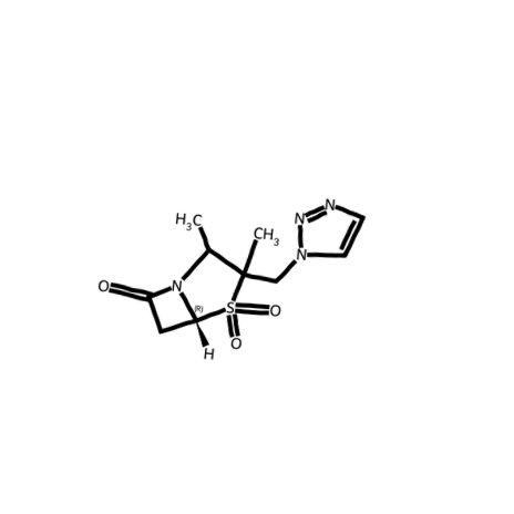 CC1N2C(=O)C[C@H]2S(=O)(=O)C1(C)Cn1ccnn1